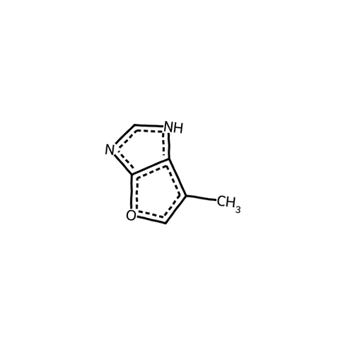 Cc1coc2nc[nH]c12